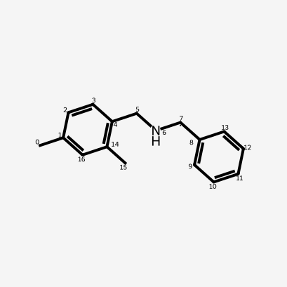 Cc1ccc(CN[CH]c2ccccc2)c(C)c1